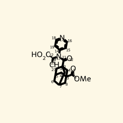 COC(=O)C12CC3CC(C1)CC(C(=O)N(c1ccncc1)[C@@H](C)C(=O)O)(C3)C2